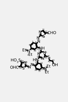 CCN(CC)c1ccc(/N=N/c2ncc(C=O)s2)c(Nc2nc(Nc3cc(N(CC)CC)ccc3/N=N/c3nc(S(=O)(=O)O)c(C=O)s3)nc(SCCO)n2)c1